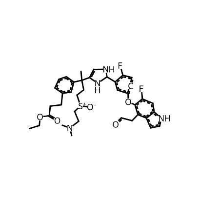 CCOC(=O)CCc1cccc(C(C)(CC[S+]([O-])CCN(C)C)C2=CNC(c3cc(Oc4c(F)cc5[nH]ccc5c4CC=O)ccc3F)N2)c1